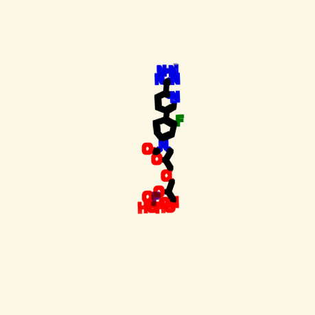 Cn1nnc(-c2ccc(-c3ccc(N4CC(COCC(CO)OP(=O)(O)O)OC4=O)cc3F)cn2)n1